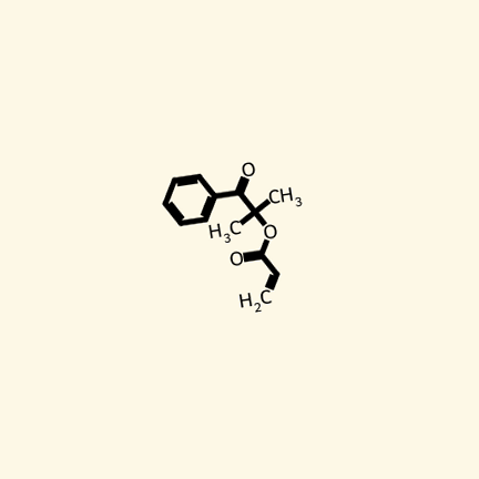 C=CC(=O)OC(C)(C)C(=O)c1ccccc1